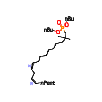 CCCCC/C=C\C/C=C\CCCCCCCC(C)(C)CP(=O)(OCCCC)OCCCC